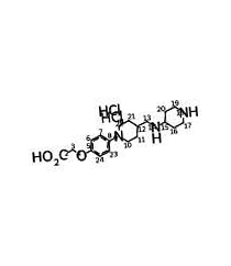 Cl.Cl.O=C(O)COc1ccc(N2CCC(CNC3CCNCC3)CC2)cc1